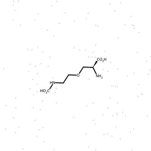 N[C@@H](COCCNC(=O)O)C(=O)O